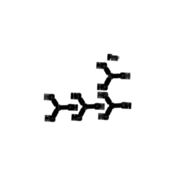 OB(O)O.OB(O)O.OB(O)O.OB(O)O.[Pm]